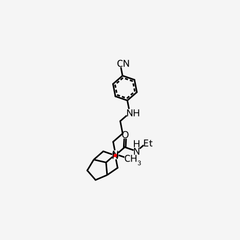 CCNC(=O)N1CC2CCC(C1)C2N(C)CCCNc1ccc(C#N)cc1